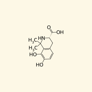 CC1(C)N[C@H](C(=O)O)Cc2ccc(O)c(O)c21